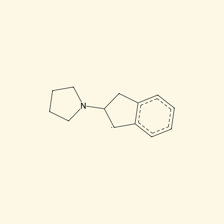 [CH]1c2ccccc2CC1N1CCCC1